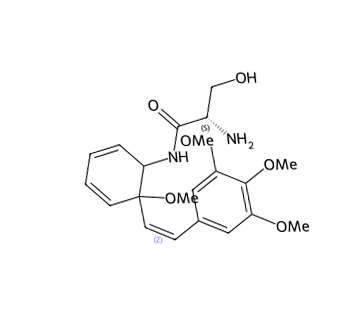 COc1cc(/C=C\C2(OC)C=CC=CC2NC(=O)[C@@H](N)CO)cc(OC)c1OC